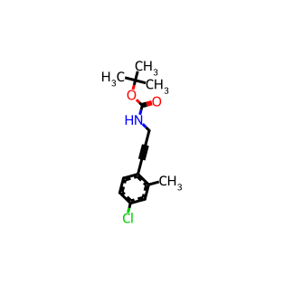 Cc1cc(Cl)ccc1C#CCNC(=O)OC(C)(C)C